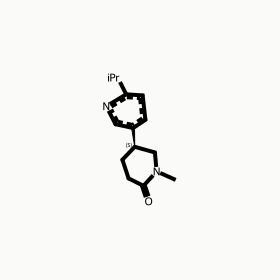 CC(C)c1ccc([C@@H]2CCC(=O)N(C)C2)cn1